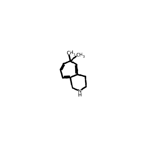 CC1(C)C=CC=C2CNCCC2=C1